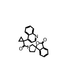 O=C1O[C@]2(CCN(C(=O)C3(c4ccnc5ccccc45)CC3)C2)c2ccccc21